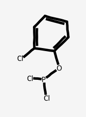 Clc1ccccc1OP(Cl)Cl